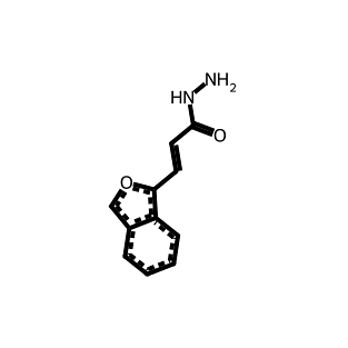 NNC(=O)C=Cc1occ2ccccc12